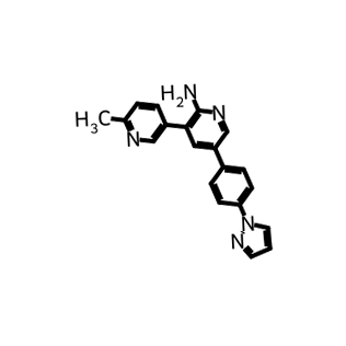 Cc1ccc(-c2cc(-c3ccc(-n4cccn4)cc3)cnc2N)cn1